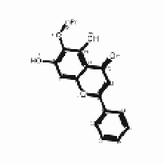 CCCOc1c(O)cc2oc(-c3ccccc3)cc(=O)c2c1O